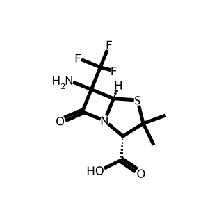 CC1(C)S[C@H]2N(C(=O)C2(N)C(F)(F)F)[C@H]1C(=O)O